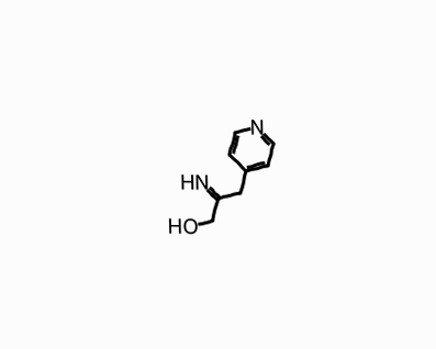 N=C(CO)Cc1ccncc1